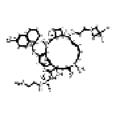 COCCNS(=O)(=O)NC(=O)[C@@]1(O)CC(=O)N(C)CC/C=C/[C@H](OCCN2CC(F)(F)C2)[C@@H]2CC[C@H]2CN2C[C@@]3(CCCc4cc(Cl)ccc43)COc3ccc1cc32